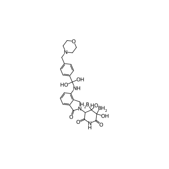 BC1(O)C(=O)NC(=O)C(N2Cc3c(NC(O)(O)c4ccc(CN5CCOCC5)cc4)cccc3C2=O)C1(B)O